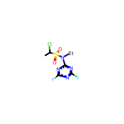 CCN(c1nc(F)nc(F)n1)S(=O)(=O)C(C)Cl